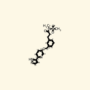 CN(C(=O)CCc1cccc(COc2ccc(-c3ccn[nH]3)nc2)c1)S(C)(=O)=O